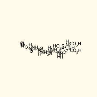 Cc1nnc(-c2ccc(CNC(=O)C(N)CCCCNC(=O)C(N)CCCCNC(=O)C(N)CCCCNC(=S)Nc3ccc(CC4NC(CC(=O)O)CNC(CC(=O)O)CNC4CC(=O)O)cc3)cc2)nn1